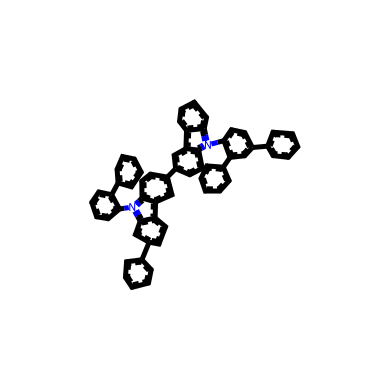 c1ccc(-c2ccc(-n3c4ccccc4c4cc(-c5ccc6c(c5)c5ccc(-c7ccccc7)cc5n6-c5ccccc5-c5ccccc5)ccc43)c(-c3ccccc3)c2)cc1